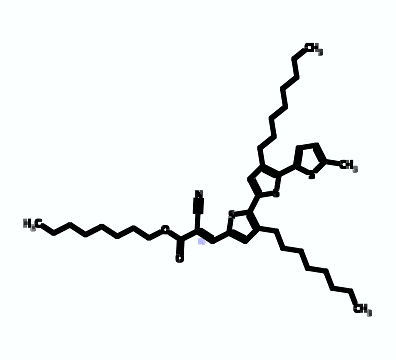 CCCCCCCCOC(=O)/C(C#N)=C/c1cc(CCCCCCCC)c(-c2cc(CCCCCCCC)c(-c3ccc(C)s3)s2)s1